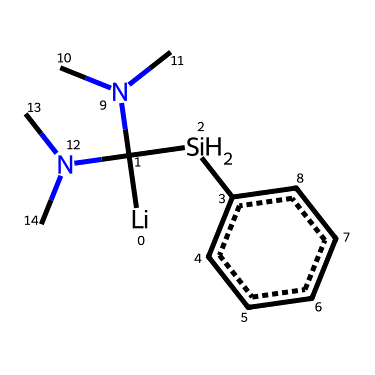 [Li][C]([SiH2]c1ccccc1)(N(C)C)N(C)C